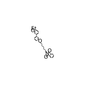 CCOc1cccc(-c2cccc(OCCCCCCCN3C(=O)c4ccccc4C3=O)c2)c1